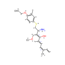 C=C\C(=C/C=C(C)/C(O)=C(\COCC)C(N)CSc1ccc(OCC=O)c(C)c1)C(F)(F)F